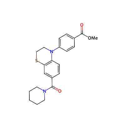 COC(=O)c1ccc(N2CCSc3cc(C(=O)N4CCCCC4)ccc32)cc1